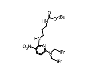 CC(C)CN(CC(C)C)c1ccc([N+](=O)[O-])c(NCCCNC(=O)OC(C)(C)C)n1